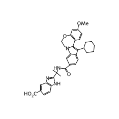 COc1ccc2c(c1)OCCn1c-2c(C2CCCCC2)c2ccc(C(=O)NC(C)(C)c3nc4cc(C(=O)O)ccc4[nH]3)cc21